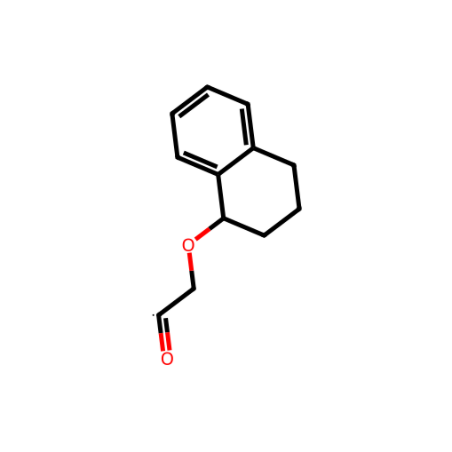 O=[C]COC1CCCc2ccccc21